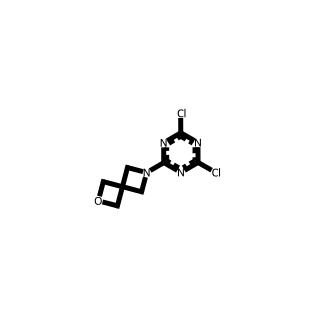 Clc1nc(Cl)nc(N2CC3(COC3)C2)n1